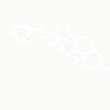 CC12CCC(O)CC1=CCC1C2CCC2(C)/C(=N/Cc3ccccn3)CCC12